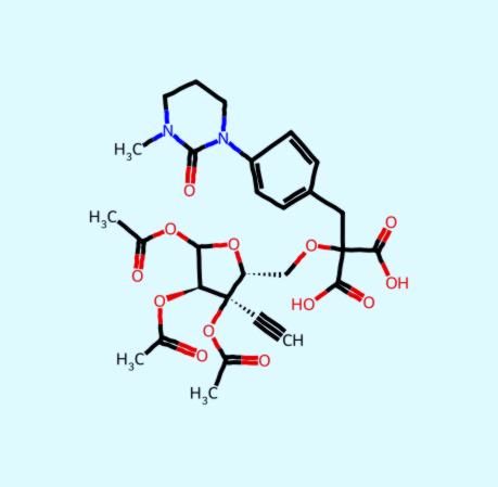 C#C[C@@]1(OC(C)=O)[C@@H](COC(Cc2ccc(N3CCCN(C)C3=O)cc2)(C(=O)O)C(=O)O)OC(OC(C)=O)[C@@H]1OC(C)=O